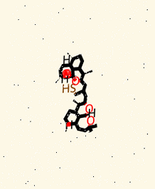 C[C@H]1C(CC(CS)CC2O[C@@H]3O[C@]4(C)CC[C@H]5[C@H](C)CCC([C@H]2C)C35OO4)O[C@@H]2OC(C)(C)CC[C@@H]3C2C1CC[C@H]3C